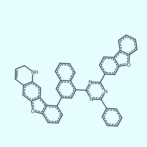 C1=Cc2cc3oc4cccc(-c5cc(-c6nc(-c7ccccc7)nc(-c7ccc8c(c7)oc7ccccc78)n6)c6ccccc6c5)c4c3cc2NC1